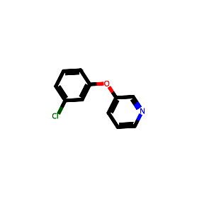 Clc1cc[c]c(Oc2cccnc2)c1